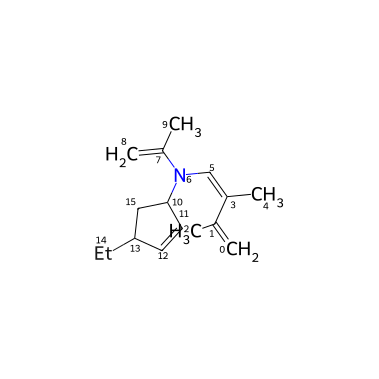 C=C(C)/C(C)=C\N(C(=C)C)C1C=CC(CC)C1